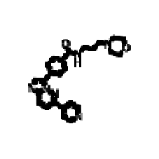 O=C(NCCCN1CCOCC1)c1ccc(-c2cnc3ccc(-c4ccncc4)nn23)cc1